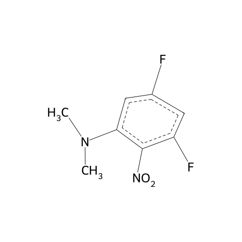 CN(C)c1cc(F)cc(F)c1[N+](=O)[O-]